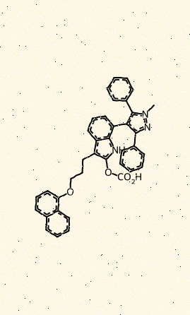 Cn1nc(-c2ccccc2)c(-c2cccc3c(CCCOc4cccc5ccccc45)c(OC(=O)O)[nH]c23)c1-c1ccccc1